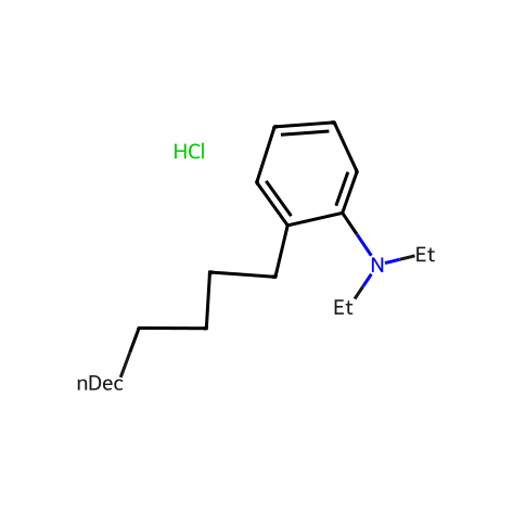 CCCCCCCCCCCCCCc1ccccc1N(CC)CC.Cl